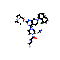 CC(C)N1CCC1COc1nc2c(c(N3CCN(C(=O)/C=C/CF)[C@@H](CC#N)C3)n1)CCN(c1cccc3cccc(Cl)c13)C2